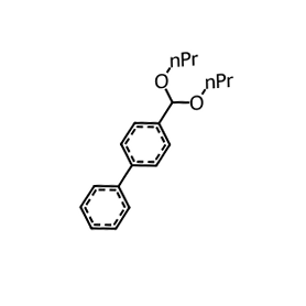 CCCOC(OCCC)c1ccc(-c2ccccc2)cc1